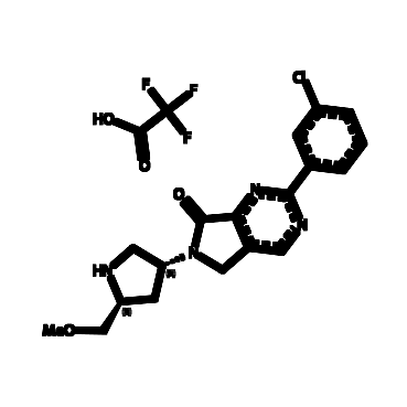 COC[C@@H]1C[C@@H](N2Cc3cnc(-c4cccc(Cl)c4)nc3C2=O)CN1.O=C(O)C(F)(F)F